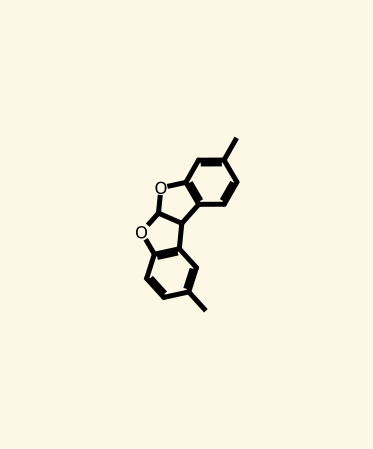 Cc1ccc2c(c1)OC1Oc3ccc(C)cc3C21